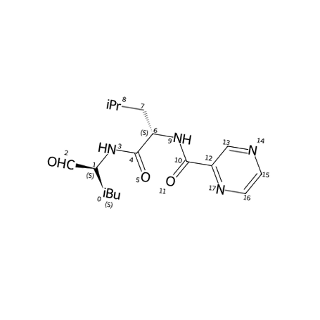 C[CH][C@H](C)[C@@H](C=O)NC(=O)[C@H](CC(C)C)NC(=O)c1cnccn1